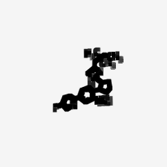 CCC(C)(C)Cc1c[nH]c(C2CCCC2c2ccc(-c3ccc(F)cn3)cc2)n1.Cl.Cl